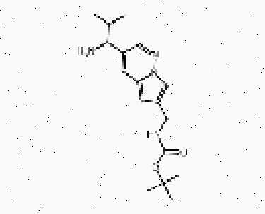 CC(C)C(N)c1cnn2cc(CNC(=O)OC(C)(C)C)nc2c1